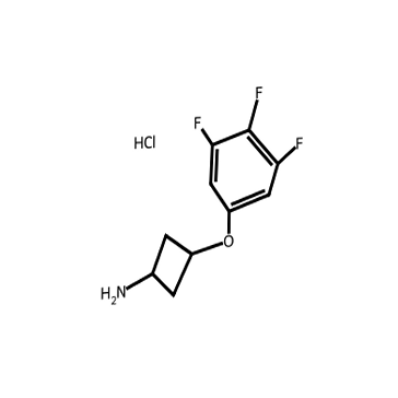 Cl.NC1CC(Oc2cc(F)c(F)c(F)c2)C1